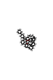 CC1(C)c2ccccc2-c2ccc(N(c3ccc(-c4ccccc4)cc3)c3ccccc3-c3ccc4c(c3)C3(c5ccccc5-c5ccccc53)c3cccc5c6ccccc6n-4c35)cc21